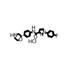 Cl.O=C(Nc1ccc([C@H]2CNCCO2)cc1)c1ccn(-c2ccc(F)cc2)n1